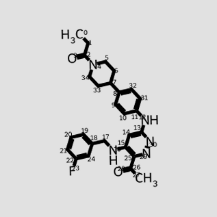 CCC(=O)N1CCC(c2ccc(Nc3cc(NCc4cccc(F)c4)c(C(C)=O)nn3)cc2)CC1